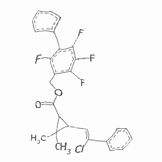 CC1(C)C(C=C(Cl)c2ccccc2)C1C(=O)OCc1c(F)c(F)c(F)c(-c2ccccc2)c1F